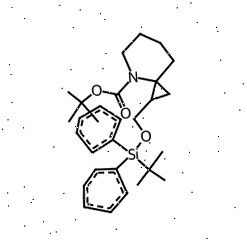 CC(C)(C)OC(=O)N1CCCCC12CC2CO[Si](c1ccccc1)(c1ccccc1)C(C)(C)C